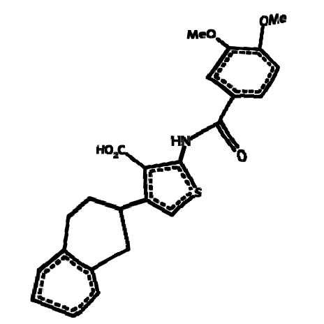 COc1ccc(C(=O)Nc2scc(C3CCc4ccccc4C3)c2C(=O)O)cc1OC